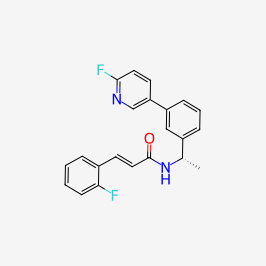 C[C@H](NC(=O)C=Cc1ccccc1F)c1cccc(-c2ccc(F)nc2)c1